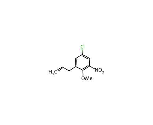 C=CCc1cc(Cl)cc([N+](=O)[O-])c1OC